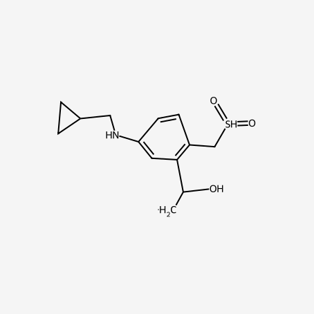 [CH2]C(O)c1cc(NCC2CC2)ccc1C[SH](=O)=O